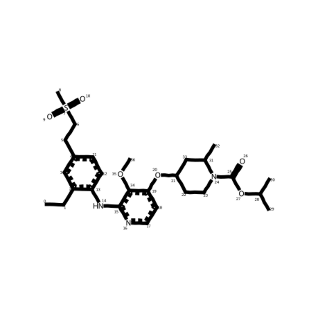 CCc1cc(CCS(C)(=O)=O)ccc1Nc1nccc(OC2CCN(C(=O)OC(C)C)C(C)C2)c1OC